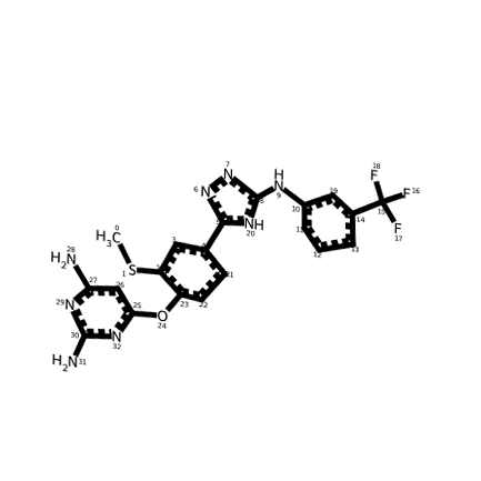 CSc1cc(-c2nnc(Nc3cccc(C(F)(F)F)c3)[nH]2)ccc1Oc1cc(N)nc(N)n1